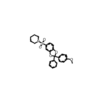 COc1ccc(C2(c3ccccc3)Oc3ccc(S(=O)(=O)N4CCCCC4)cc3O2)cc1